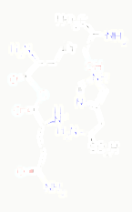 CC(C)C[C@H](N)C(=O)OC(=O)[C@@H](N)CCC(N)=O.N[C@@H](CO)C(=O)O.N[C@@H](Cc1c[nH]cn1)C(=O)O